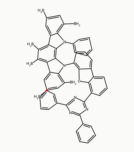 Bc1cc(B)c2c(c1)c1c(B)c(B)c3c4cc(B)cc(B)c4n(-c4cccc5c4oc4c(-c6nc(-c7ccccc7)nc(-c7ccccc7)n6)cccc45)c3c1n2-c1ccccc1